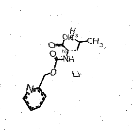 CC(C)C[C@H](NC(=O)OCc1ccccn1)C(=O)O.[Li]